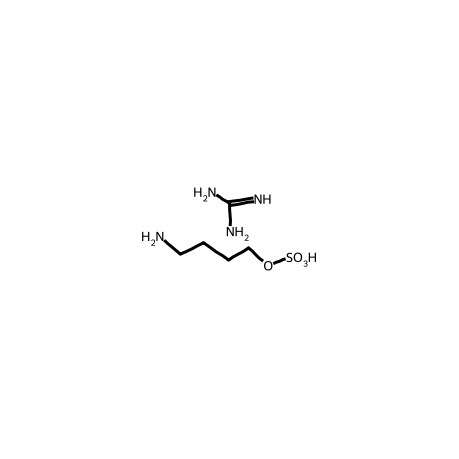 N=C(N)N.NCCCCOS(=O)(=O)O